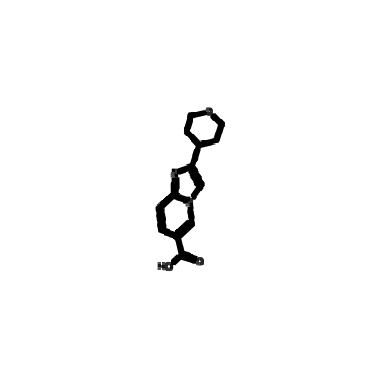 O=C(O)c1ccc2nc(C3CCOCC3)cn2c1